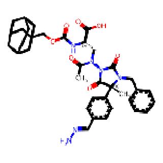 CC(=O)N(C[C@H](NC(=O)OCC12CC3CC(CC(C3)C1)C2)C(=O)O)N1C(=O)N(Cc2ccccc2)[C@](C)(c2ccc(C=NN)cc2)C1=O